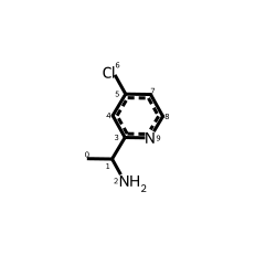 CC(N)c1cc(Cl)ccn1